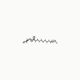 C=CCCCCCCCCC(=O)OCC#CI